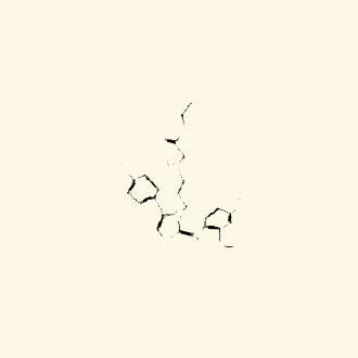 CCOC(=O)CNCCCn1c(-c2ccc(F)cc2)cs/c1=N/c1ccc(Cl)cc1OC